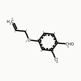 C=CCOc1ccc(C=O)c(Cl)c1